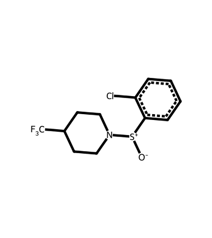 [O-][S+](c1ccccc1Cl)N1CCC(C(F)(F)F)CC1